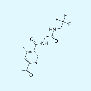 CC(=O)C1=CC(C)=C(C(=O)NCC(=O)NCC(F)(F)F)CS1